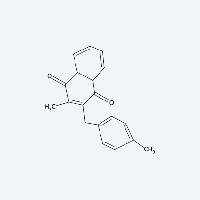 CC1=C(Cc2ccc(C)cc2)C(=O)C2C=CC=CC2C1=O